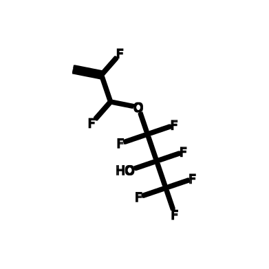 C=C(F)C(F)OC(F)(F)C(O)(F)C(F)(F)F